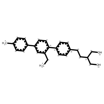 CCc1cc(-c2ccc(C)cc2)ccc1-c1ccc(CCC(CO)CO)cc1